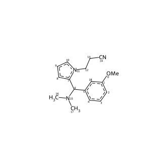 COc1cccc(C(c2cccn2CCC#N)N(C)C)c1